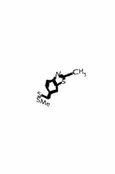 CSSCc1ccc2nc(C)sc2c1